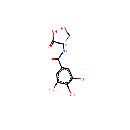 O=C(N[C@@H](CO)C(=O)O)c1cc(O)c(O)c(O)c1